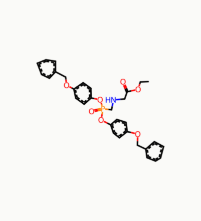 CCOC(=O)CNCP(=O)(Oc1ccc(OCc2ccccc2)cc1)Oc1ccc(OCc2ccccc2)cc1